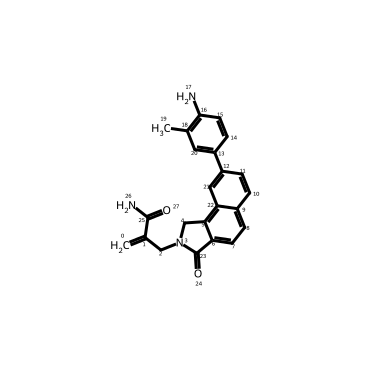 C=C(CN1Cc2c(ccc3ccc(-c4ccc(N)c(C)c4)cc23)C1=O)C(N)=O